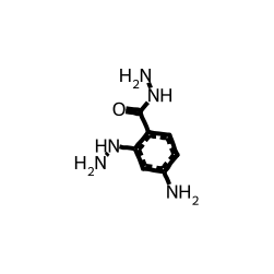 NNC(=O)c1ccc(N)cc1NN